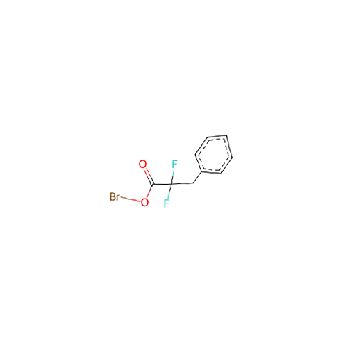 O=C(OBr)C(F)(F)Cc1ccccc1